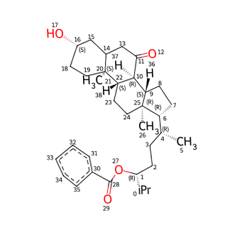 CC(C)[C@@H](CC[C@@H](C)[C@H]1CC[C@H]2[C@@H]3C(=O)CC4C[C@@H](O)CC[C@]4(C)[C@H]3CC[C@]12C)OC(=O)c1ccccc1